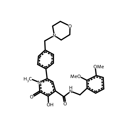 COc1cccc(CNC(=O)c2cc(-c3ccc(CN4CCOCC4)cc3)n(C)c(=O)c2O)c1OC